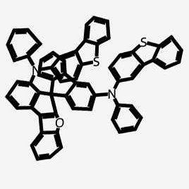 c1ccc(N(c2ccc3c(c2)-c2ccccc2C32c3oc4ccccc4c3-c3cccc(N(c4ccccc4)c4ccc5sc6ccccc6c5c4)c32)c2ccc3sc4ccccc4c3c2)cc1